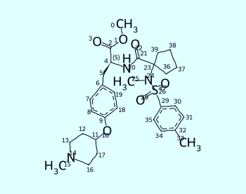 COC(=O)[C@H](Cc1ccc(OC2CCN(C)CC2)cc1)NC(=O)C1(N(C)S(=O)(=O)c2ccc(C)cc2)CCCC1